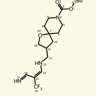 CC(C)(C)OC(=O)N1CCC2(CC1)CC(CN/C=C(\C=N)C(F)(F)F)CO2